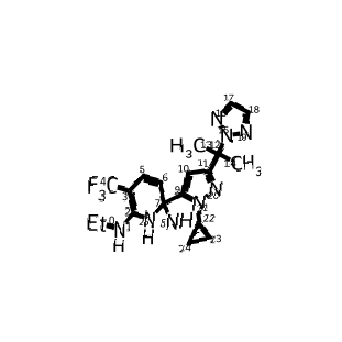 CCNC1=C(C(F)(F)F)C=CC(N)(c2cc(C(C)(C)n3nccn3)nn2C2CC2)N1